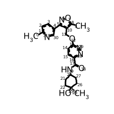 Cc1ccc(-c2noc(C)c2COc2ccc(C(=O)N[C@H]3CC[C@@](C)(O)CC3)nn2)cn1